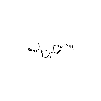 BCc1ccc(C23CC2CN(C(=O)OC(C)(C)C)C3)cc1